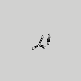 N#N.O=S(=O)=O